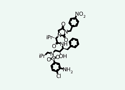 CC(C)CN(C[C@@H](O)[C@H](Cc1ccccc1)NC(=O)[C@H](C(C)C)N1CC(=O)N(Cc2ccc([N+](=O)[O-])cc2)C1=O)S(=O)(=O)c1ccc(Cl)c(N)c1